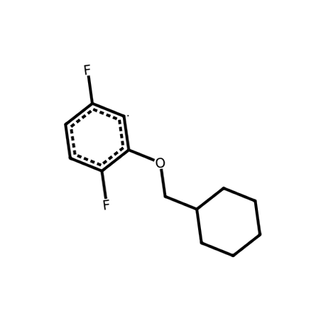 Fc1[c]c(OCC2CCCCC2)c(F)cc1